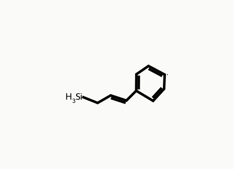 [SiH3]CC=Cc1cc[c]cc1